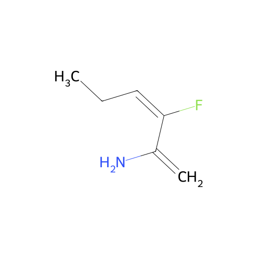 C=C(N)/C(F)=C\CC